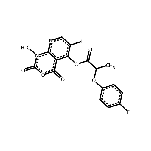 CC(Oc1ccc(F)cc1)C(=O)Oc1c(I)cnc2c1c(=O)oc(=O)n2C